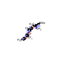 C=Nc1[nH]c(CCOC)cc1/C(=C\C)Oc1cnc2c(c1)CN(C(=O)Nc1cnc(OC3CCN(C)CC3)c(C(F)(F)F)c1)C[C@@H]2CC